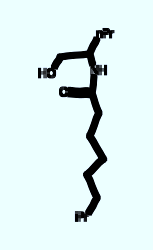 CCCC(CO)NC(=O)CCCCCC(C)C